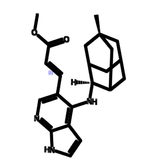 COC(=O)/C=C/c1cnc2[nH]ccc2c1N[C@H]1C2CC3CC1C[C@@](C)(C3)C2